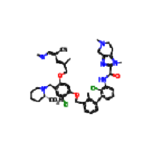 C=N/C=C(C#N)\C=C(/C)COc1cc(OCc2cccc(-c3cccc(NC(=O)c4nc5c(n4C)CCN(C)C5)c3Cl)c2C)c(Cl)cc1CN1CCCC[C@H]1C(=O)O